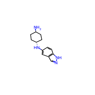 N[C@H]1CC[C@H](Nc2ccc3[nH]ncc3c2)CC1